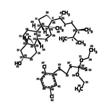 CC(C)[C@H](C)CC[C@@H](C)[C@H]1CC[C@H]2[C@@H]3CC=C4C[C@@H](O)CC[C@]4(C)[C@H]3CC[C@]12C.CCOP(=S)(OCC)SCSc1cc(Cl)ccc1Cl